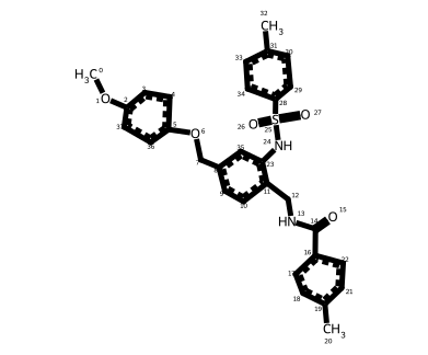 COc1ccc(OCc2ccc(CNC(=O)c3ccc(C)cc3)c(NS(=O)(=O)c3ccc(C)cc3)c2)cc1